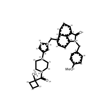 COc1ccc(CN2C(=O)c3cccc4c(Cn5cc(N6CCN(C(=O)C7(C)CCC7)CC6)cn5)ccc2c34)cc1